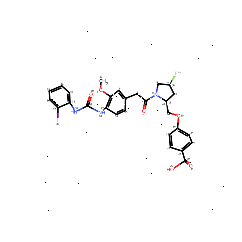 COc1cc(CC(=O)N2C[C@@H](F)C[C@H]2COc2ccc(C(=O)O)cc2)ccc1NC(=O)Nc1ccccc1I